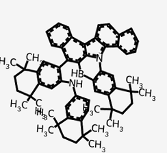 CC1(C)CCC(C)(C)c2cc(Nc3cc4c(cc3-c3c5c6c(c7ccccc37)c3ccc7ccccc7c3n6-c3cc6c(cc3B5)C(C)(C)CCC6(C)C)C(C)(C)CCC4(C)C)ccc21